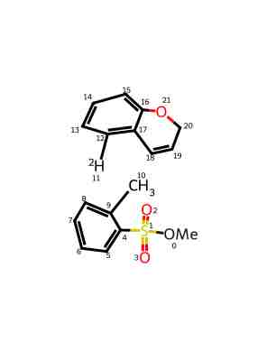 COS(=O)(=O)c1ccccc1C.[2H]c1cccc2c1C=CCO2